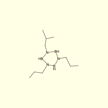 CCCN1BN(CCC)BN(CC(C)C)B1